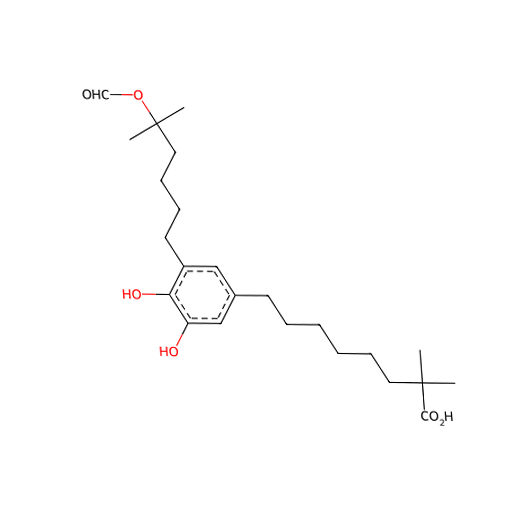 CC(C)(CCCCc1cc(CCCCCCC(C)(C)C(=O)O)cc(O)c1O)OC=O